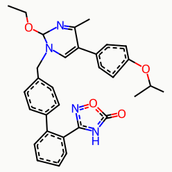 CCOC1N=C(C)C(c2ccc(OC(C)C)cc2)=CN1Cc1ccc(-c2ccccc2-c2noc(=O)[nH]2)cc1